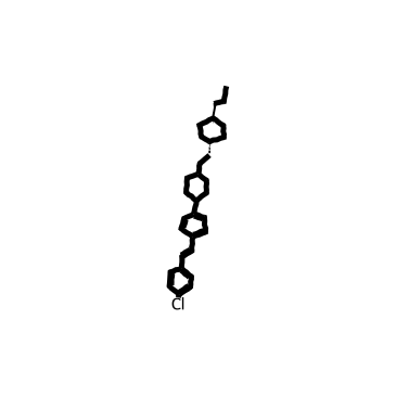 CCC[C@H]1CC[C@H](CCC2CCC(c3ccc(C=Cc4ccc(Cl)cc4)cc3)CC2)CC1